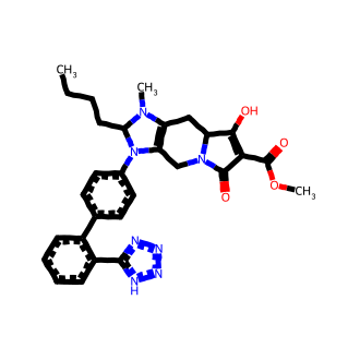 CCCCC1N(C)C2=C(CN3C(=O)C(C(=O)OC)=C(O)C3C2)N1c1ccc(-c2ccccc2-c2nnn[nH]2)cc1